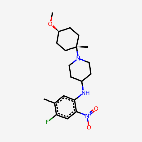 CO[C@H]1CC[C@](C)(N2CCC(Nc3cc(C)c(F)cc3[N+](=O)[O-])CC2)CC1